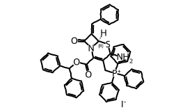 NC1S[C@@H]2C(=Cc3ccccc3)C(=O)N2C(C(=O)OC(c2ccccc2)c2ccccc2)=C1C[P+](c1ccccc1)(c1ccccc1)c1ccccc1.[I-]